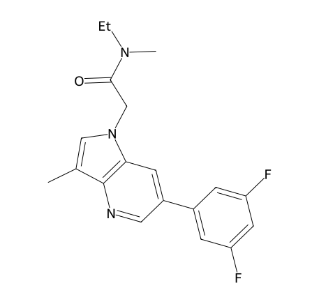 CCN(C)C(=O)Cn1cc(C)c2ncc(-c3cc(F)cc(F)c3)cc21